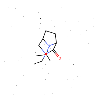 CCN1CC2CCC(C1=O)N2C(C)C